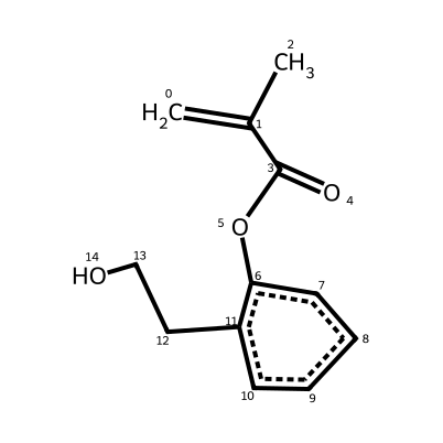 C=C(C)C(=O)Oc1ccccc1CCO